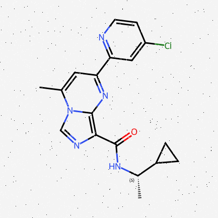 Cc1cc(-c2cc(Cl)ccn2)nc2c(C(=O)N[C@@H](C)C3CC3)ncn12